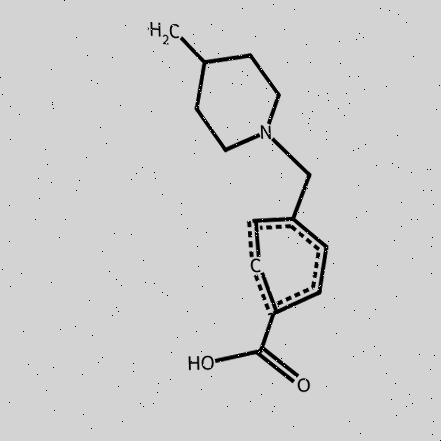 [CH2]C1CCN(Cc2ccc(C(=O)O)cc2)CC1